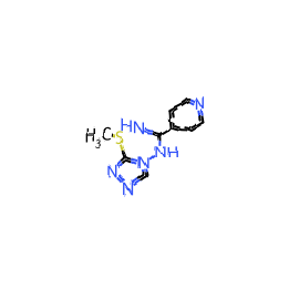 CSc1nncn1NC(=N)c1ccncc1